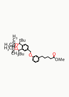 COC(=O)CCCCc1cccc(OCc2ccc(C(O[SiH](C)C)C(C)(C)C)c(C(O[SiH](C)C)C(C)(C)C)c2)c1